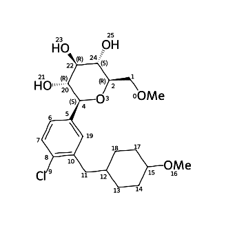 COC[C@H]1O[C@@H](c2ccc(Cl)c(CC3CCC(OC)CC3)c2)[C@H](O)[C@@H](O)[C@@H]1O